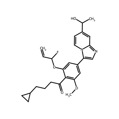 C=CC(F)Oc1cc(-c2cnc3cc(C(C)O)ccn23)cc(OC)c1C(=O)CCCC1CC1